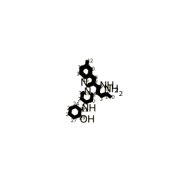 C/C(N)=C/C=C(\N)c1cc2cc(C)ccc2nc1N1CCC(N[C@H]2CCCC[C@@H]2O)CC1